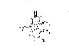 Cc1c2n(c3c(C)c(I)ccc13)[C@H](C)CNC2